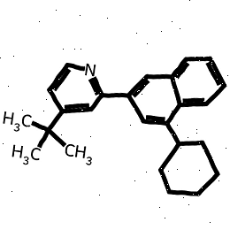 CC(C)(C)c1ccnc(-c2cc(C3CCCCC3)c3ccccc3c2)c1